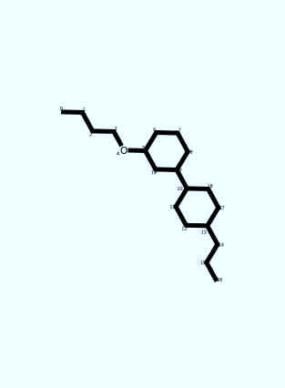 CCCCOC1CCCC(C2CCC(CCC)CC2)C1